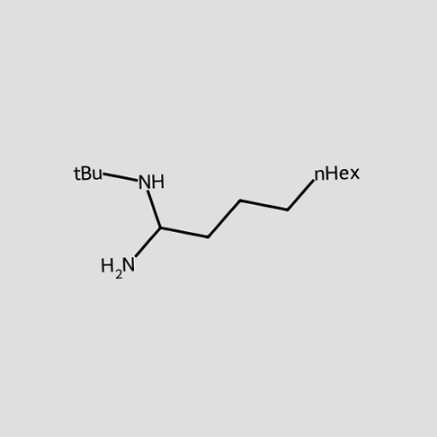 CCCCCCCCCC(N)NC(C)(C)C